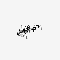 Cc1cc(F)c(COc2nsc(NC(=O)NCCc3cccn3C)c2C(N)=O)cc1F